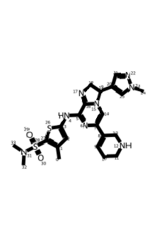 Cc1cc(NC2=NC(C3=CCCNC3)=CN3C2=NCC3c2cnn(C)c2)sc1S(=O)(=O)N(C)C